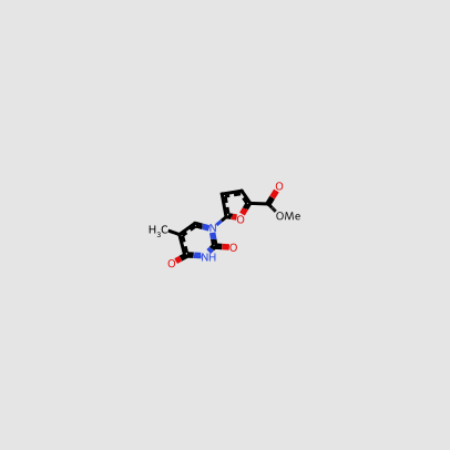 COC(=O)c1ccc(-n2cc(C)c(=O)[nH]c2=O)o1